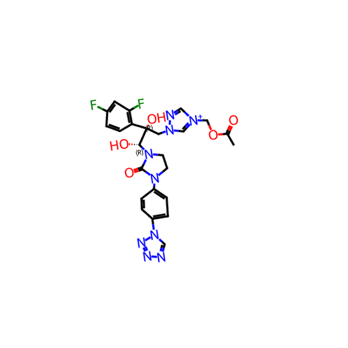 CC(=O)OC[n+]1cnn(C[C@](O)(c2ccc(F)cc2F)[C@@H](O)N2CCN(c3ccc(-n4cnnn4)cc3)C2=O)c1